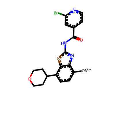 COc1ccc(C2CCOCC2)c2sc(NC(=O)c3ccnc(Br)c3)nc12